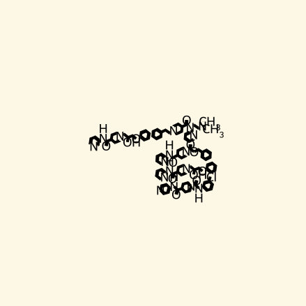 CN(C)CCN(C(=O)C1CCN(CCc2ccccc2)CC1)c1ccccn1.O=C(Nc1ccccn1)C1CCN(C(=O)OCc2ccccc2)CC1.O=C(Nc1ccccn1)C1CCN(CC(O)COc2ccccc2)CC1.O=C(Nc1cccnc1)C1CCN(CC(O)COc2ccccc2)CC1.O=C(Nc1ccncc1)C1CCN(C(=O)Nc2cccc(Cl)c2)CC1